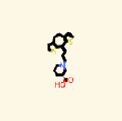 O=C(O)[C@@H]1CCCN(CCC=C2c3sccc3CCc3ccsc32)C1